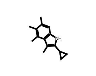 Cc1cc2[nH]c(C3CC3)c(C)c2c(C)c1C